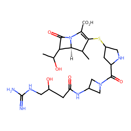 CC(O)C1C(=O)N2C(C(=O)O)=C(SC3CNC(C(=O)N4CC(NC(=O)CC(O)CNC(=N)N)C4)C3)C(C)[C@@H]12